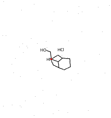 Cl.OCCC1C2CCCC1CNC2